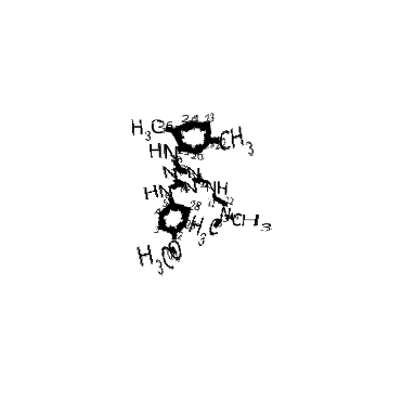 COc1ccc(Nc2nc(NCCN(C)C)nc(Nc3cc(C)ccc3C)n2)cc1